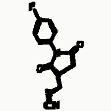 N#CSCC1CC(=O)N(c2ccc(F)cc2)C1=O